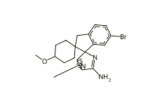 COC1CCC2(CC1)Cc1ccc(Br)cc1C21N=C(N)c2nc(C)sc21